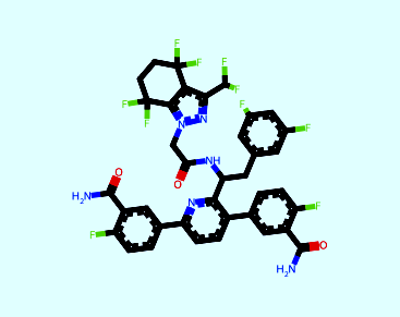 NC(=O)c1cc(-c2ccc(-c3ccc(F)c(C(N)=O)c3)c(C(Cc3cc(F)cc(F)c3)NC(=O)Cn3nc(C(F)F)c4c3C(F)(F)CCC4(F)F)n2)ccc1F